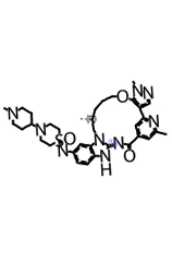 Cc1cc2cc(n1)-c1cnn(C)c1OCCC[C@@H](C)CN1/C(=N/C2=O)Nc2ccc(N=S3(=O)CCN(C4CCN(C)CC4)CC3)cc21